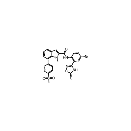 Cn1c(C(=O)Nc2ccc(Br)cc2-c2noc(=O)[nH]2)cc2cccc(-c3ccc(S(C)(=O)=O)cc3)c21